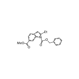 CCc1cc2ccc(C(=O)OC)cc2n1C(=O)OCc1ccccc1